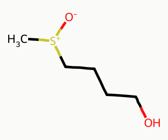 C[S+]([O-])CCCCO